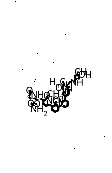 COc1nc(-c2cccc(-c3cccc(-c4cc5c(=O)n(C)c(CNC6CC(C)(O)C6)nn5c4)c3Cl)c2Cl)ccc1C[C@H](OC(N)=O)[C@@H]1CCC(=O)N1